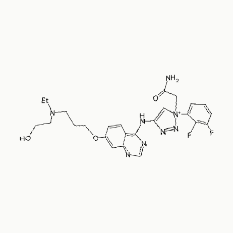 CCN(CCO)CCCOc1ccc2c(NC3=C[N+](CC(N)=O)(c4cccc(F)c4F)N=N3)ncnc2c1